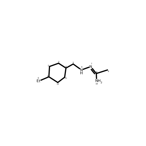 CCC1CCC(CN/N=C(/C)N)CC1